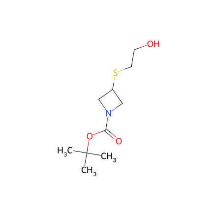 CC(C)(C)OC(=O)N1CC(SCCO)C1